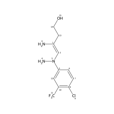 N/C(=C\N(N)c1ccc(Cl)c(C(F)(F)F)c1)CCO